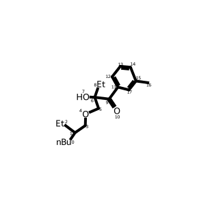 CCCCC(CC)COCC(O)(CC)C(=O)c1cccc(C)c1